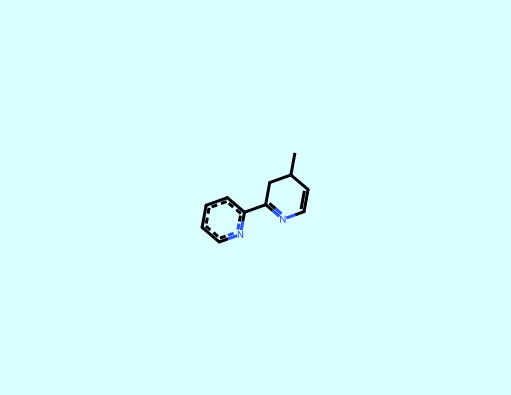 CC1C=CN=C(c2ccccn2)C1